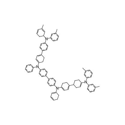 CC1=CC(N(c2ccc(C3=CC=C(N(c4ccccc4)c4ccc(-c5ccc(N(C6=CC=CCC6)C6=CC=C(C7CC=C(N(c8cccc(C)c8)c8cccc(C)c8)CC7)CC6)cc5)cc4)CC3)cc2)c2cccc(C)c2)CC=C1